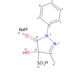 CC1=NN(c2ccccc2)C(=O)C1(O)S(=O)(=O)O.[NaH]